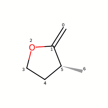 C=C1OCC[C@H]1C